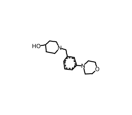 OC1CCN(Cc2cccc(N3CCOCC3)c2)CC1